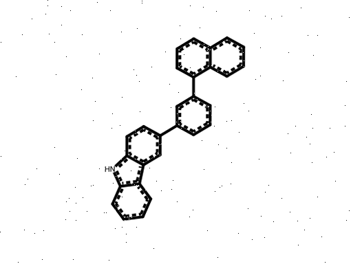 c1cc(-c2ccc3[nH]c4ccccc4c3c2)cc(-c2cccc3ccccc23)c1